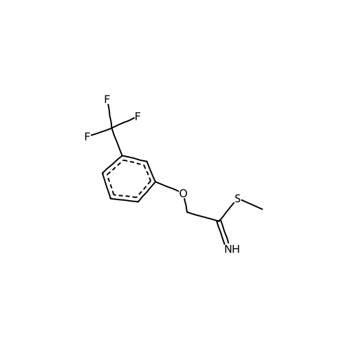 CSC(=N)COc1cccc(C(F)(F)F)c1